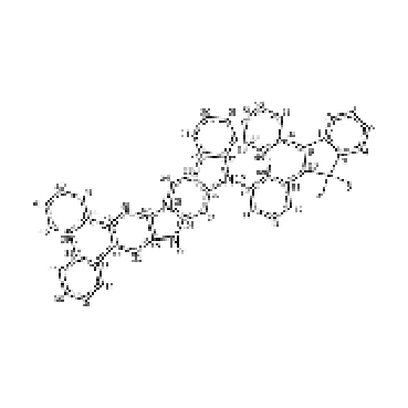 CC1(C)c2ccccc2-c2c1c1cccc(-n3c4ccccc4c4cn5c(cc43)nc3cc4c6ccccc6c6ccccc6c4cc35)c1c1ccccc21